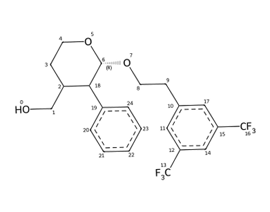 OCC1CCO[C@H](OCCc2cc(C(F)(F)F)cc(C(F)(F)F)c2)C1c1ccccc1